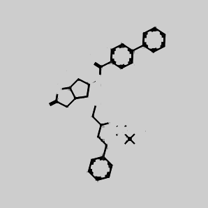 CC(C)(C)[Si](C)(C)OC(CCc1ccccc1)CC[C@@H]1[C@H]2CC(=O)O[C@H]2C[C@H]1OC(=O)c1ccc(-c2ccccc2)cc1